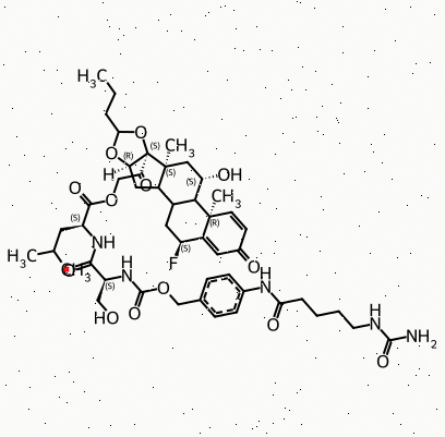 CCCC1O[C@@H]2CC3C4C[C@H](F)C5=CC(=O)C=C[C@]5(C)C4[C@@H](O)C[C@]3(C)[C@]2(C(=O)COC(=O)[C@H](CC(C)C)NC(=O)[C@H](CO)NC(=O)OCc2ccc(NC(=O)CCCCNC(N)=O)cc2)O1